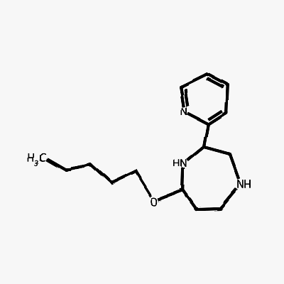 CCCCCOC1CCNCC(c2ccccn2)N1